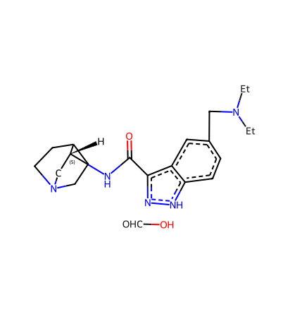 CCN(CC)Cc1ccc2[nH]nc(C(=O)N[C@@H]3CN4CCC3CC4)c2c1.O=CO